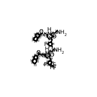 Cc1cc(F)cc(CN2CC[C@@H](CNC(=O)c3ccc4ccccc4c3)N[C@@H](CCCN)C2=O)c1.NCCC[C@@H]1N[C@H](CNC(=O)c2ccc3ccccc3c2)CCN(Cc2cc(F)cc(C(F)(F)F)c2)C1=O